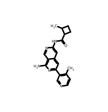 Cc1ccncc1-c1cc2cc(NC(=O)C3CCC3C)ncc2c(N)n1